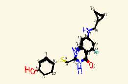 O=c1[nH]c(CS[C@H]2CC[C@H](O)CC2)nc2cc(NCC3CC3)cc(F)c12